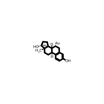 C[C@]12CC[C@@H]3c4ccc(O)cc4CC[C@H]3[C@@H]1CC[C@H]2O.[Au]